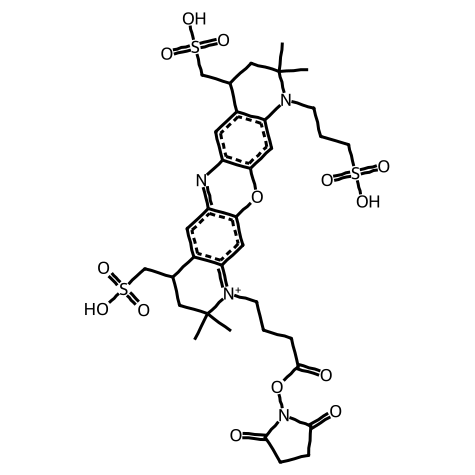 CC1(C)CC(CS(=O)(=O)O)c2cc3c(cc2N1CCCS(=O)(=O)O)Oc1cc2c(cc1=N3)C(CS(=O)(=O)O)CC(C)(C)[N+]=2CCCC(=O)ON1C(=O)CCC1=O